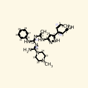 C#C/C=C(\C=C/C)c1cc(NC(=C)/N=C(\N=C(/N)N2CCN(C)CC2)Nc2ccccc2)n[nH]1